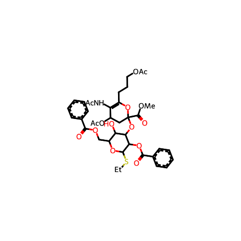 CCSC1OC(COC(=O)c2ccccc2)C(O)C(OC2(C(=O)OC)CC(OC(C)=O)C(NC(C)=O)=C(CCCOC(C)=O)O2)C1OC(=O)c1ccccc1